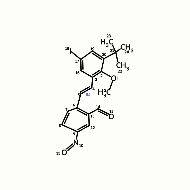 COc1c(/C=C/c2ccc(N=O)cc2C=O)cc(I)cc1C(C)(C)C